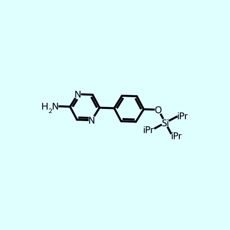 CC(C)[Si](Oc1ccc(-c2cnc(N)cn2)cc1)(C(C)C)C(C)C